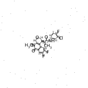 CN(C(=O)Nc1ccc(F)c(Cl)c1)[C@H]1COCc2c1c1cc(F)c(F)cc1c(=O)n2C